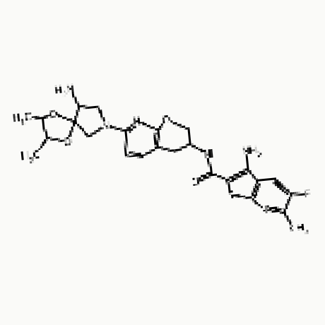 Cc1nc2sc(C(=O)NC3COc4nc(N5CC(N)C6(C5)OC(C)C(C)O6)ccc4C3)c(N)c2cc1F